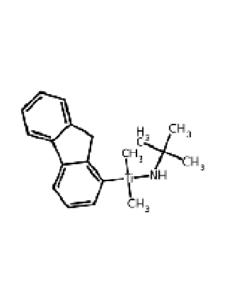 CC(C)(C)[NH][Ti]([CH3])([CH3])[c]1cccc2c1Cc1ccccc1-2